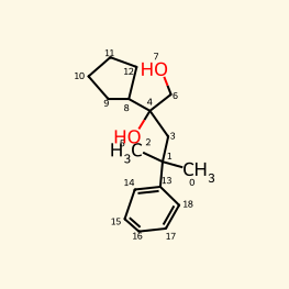 CC(C)(CC(O)(CO)C1CCCC1)c1ccccc1